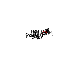 CC(C)[C@@H](C(=O)N1C[C@H](O)C[C@H]1C1=NO[C@@](C)(c2ccc(-c3ccccc3F)cc2)N1)c1cc(O[C@H]2CC[C@@H](N3CCC(c4cnc(N5C6CCC5CN(c5cc(-c7ccccc7O)nnc5N)C6)nc4)CC3)CC2)no1